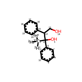 [2H][13C]([2H])([2H])C(O)(c1ccccc1)C(CO)c1ccccc1